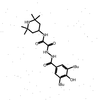 CC1(C)CC(NC(=O)C(=O)NNC(=O)c2cc(C(C)(C)C)c(O)c(C(C)(C)C)c2)CC(C)(C)N1